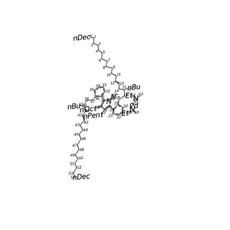 CCCCCCCCCCCCCCCCCCCCCC=CCC(CCCC)CCc1ccccc1C1=C(CCCCC)C(CCCCCCCC)=C(c2ccccc2CCC(CC=CCCCCCCCCCCCCCCCCCCCCC)CCCC)[N+]1=[N-].CC[N](C)[Pd][N](C)CC